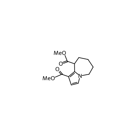 COC(=O)c1ccn2c1C(C(=O)OC)CCCC2